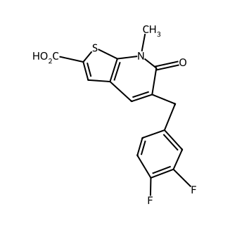 Cn1c(=O)c(Cc2ccc(F)c(F)c2)cc2cc(C(=O)O)sc21